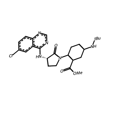 COC(=O)C1CC(NC(C)(C)C)CCC1N1CC[C@H](Nc2ncnc3ccc(Cl)cc23)C1=O